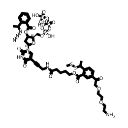 CSSC(C)c1ccc(C(=O)COCCOCCN)cc1C(=O)OCCCCC(=O)NCC#Cc1cn([C@H]2CC(OC(=O)c3ccccc3C(C)N=[N+]=[N-])[C@@H](COP(=O)(O)OP(=O)(O)OP(=O)(O)O)O2)c(=O)[nH]c1=O